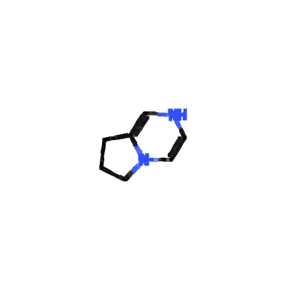 C1=CN2CCCC2=CN1